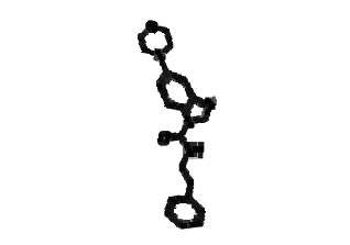 O=C(NCCc1ccccc1)n1cnc2cc(N3CCOCC3)ccc21